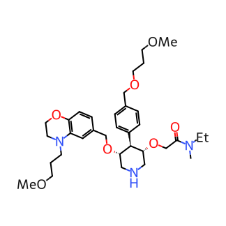 CCN(C)C(=O)CO[C@@H]1CNC[C@H](OCc2ccc3c(c2)N(CCCOC)CCO3)[C@H]1c1ccc(COCCCOC)cc1